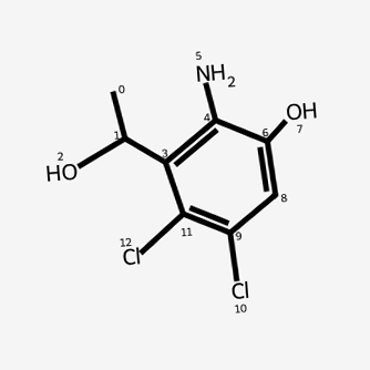 CC(O)c1c(N)c(O)cc(Cl)c1Cl